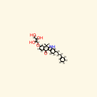 CC1(C)c2cc(OC[C@@H](O)[C@H](O)CO)ccc2C(=O)c2c1[nH]c1cc(CCCc3ccccc3)ccc21